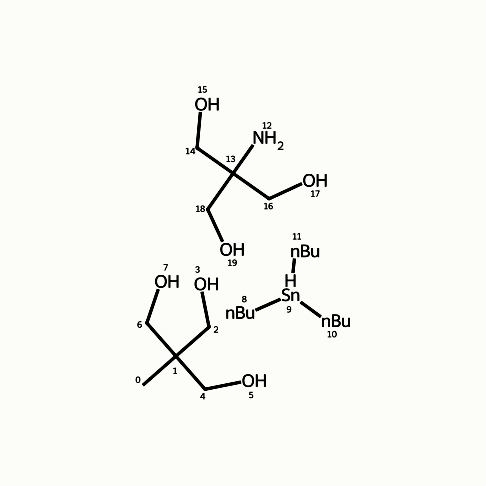 CC(CO)(CO)CO.CCC[CH2][SnH]([CH2]CCC)[CH2]CCC.NC(CO)(CO)CO